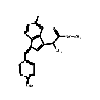 CSc1ccc(C=C2C=C(C(C)C(=O)N(C)O)c3cc(F)ccc32)cc1